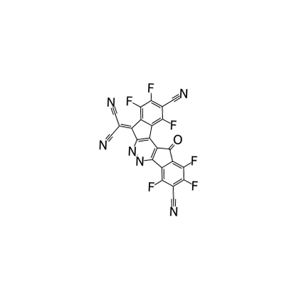 N#CC(C#N)=C1c2nnc3c(c2-c2c(F)c(C#N)c(F)c(F)c21)C(=O)c1c(F)c(F)c(C#N)c(F)c1-3